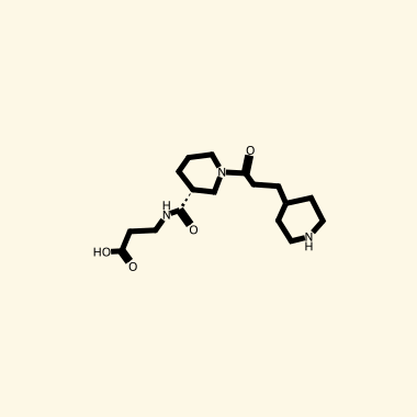 O=C(O)CCNC(=O)[C@@H]1CCCN(C(=O)CCC2CCNCC2)C1